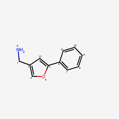 NCc1coc(-c2ccccc2)c1